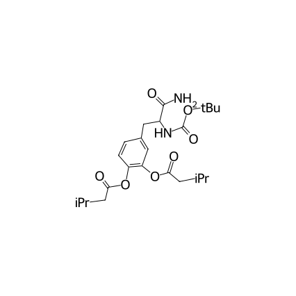 CC(C)CC(=O)Oc1ccc(CC(NC(=O)OC(C)(C)C)C(N)=O)cc1OC(=O)CC(C)C